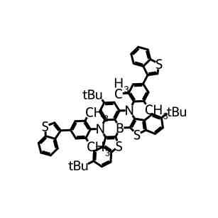 Cc1cc(-c2csc3ccccc23)cc(C)c1N1c2cc(C(C)(C)C)cc3c2B(c2sc4ccc(C(C)(C)C)cc4c21)c1sc2ccc(C(C)(C)C)cc2c1N3c1c(C)cc(-c2csc3ccccc23)cc1C